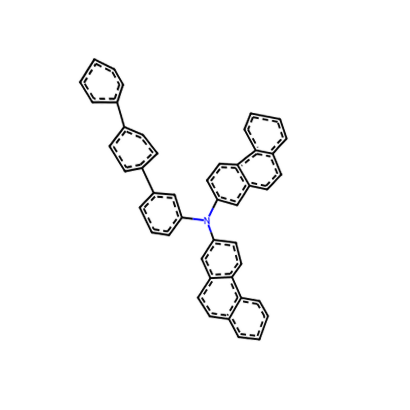 c1ccc(-c2ccc(-c3cccc(N(c4ccc5c(ccc6ccccc65)c4)c4ccc5c(ccc6ccccc65)c4)c3)cc2)cc1